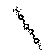 O=COc1ccc(/C=C/c2ccc(-c3ccc(/C=C/c4ccc(OC(F)=C(F)F)cc4)cn3)nc2)cc1